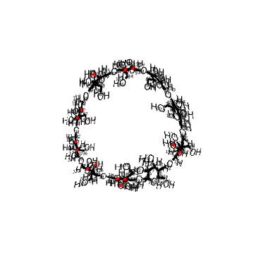 OC[C@H]1O[C@@H]2O[C@H]3[C@H](O)[C@@H](O)[C@@H](O[C@H]4[C@H](O)[C@@H](O)[C@@H](O[C@H]5[C@H](O)[C@@H](O)[C@@H](O[C@H]6[C@H](O)[C@@H](O)[C@@H](O[C@H]7[C@H](O)[C@@H](O)[C@@H](O[C@H]8[C@H](O)[C@@H](O)[C@@H](O[C@H]9[C@H](O)[C@@H](O)[C@@H](O[C@H]%10[C@H](O)[C@@H](O)[C@@H](O[C@H]%11[C@H](O)[C@@H](O)[C@@H](O[C@H]1[C@H](O)[C@H]2O)O[C@@H]%11CO)O[C@@H]%10CO)O[C@@H]9CO)O[C@@H]8CO)O[C@@H]7CO)O[C@@H]6CO)O[C@@H]5CO)O[C@@H]4CO)O[C@@H]3CO